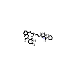 Cc1cccc(CCCOCCN(N)/C=C(\N)C(=O)N2CCCCC2)c1CN(C=O)C1CCC(=O)NC1=O